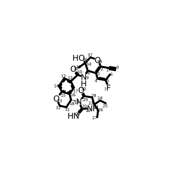 C#CC1=C(/C=C(\C)F)C(NC(=O)c2ccc3c(c2)[C@H](N2C(=N)NC(CC)(CC)CC2=O)CCO3)C(C)(O)CO1